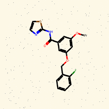 CC(C)Oc1cc(OCc2ccccc2F)cc(C(=O)Nc2nccs2)c1